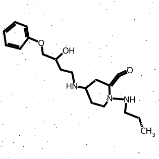 CCCNN1CCC(NCCC(O)COc2ccccc2)CC1=C=O